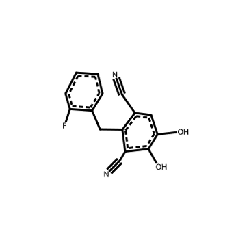 N#Cc1cc(O)c(O)c(C#N)c1Cc1ccccc1F